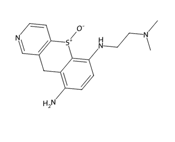 CN(C)CCNc1ccc(N)c2c1[S+]([O-])c1ccncc1C2